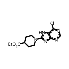 CCOC(=O)C1CCN(c2nc3ncnc(Cl)c3[nH]2)CC1